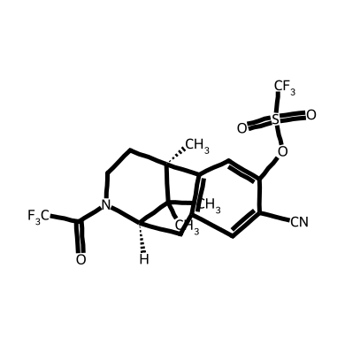 CC1(C)[C@H]2Cc3cc(C#N)c(OS(=O)(=O)C(F)(F)F)cc3[C@]1(C)CCN2C(=O)C(F)(F)F